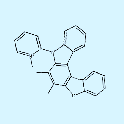 Cc1c(C)c2c(c3ccccc3n2-c2cccc[n+]2C)c2c1oc1ccccc12